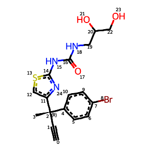 C#C[C@@](C)(c1ccc(Br)cc1)c1csc(NC(=O)NCC(O)CO)n1